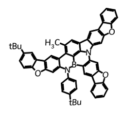 Cc1cc2c3cc4c(cc3n3c2c2c1-c1cc5c(cc1N(c1ccc(C(C)(C)C)cc1)B2c1cc2c(cc1-3)oc1ccccc12)oc1ccc(C(C)(C)C)cc15)oc1ccccc14